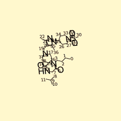 CCCCN1C(=O)[C@H](CC(C)C)NC(=O)C12CCN(Cc1c(C)nn(C3CCN(S(C)(=O)=O)CC3)c1C)CC2